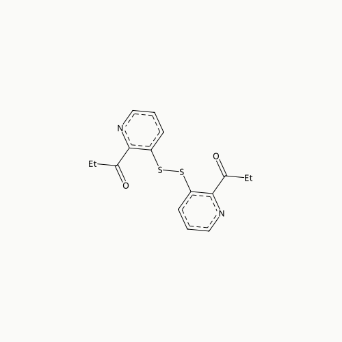 CCC(=O)c1ncccc1SSc1cccnc1C(=O)CC